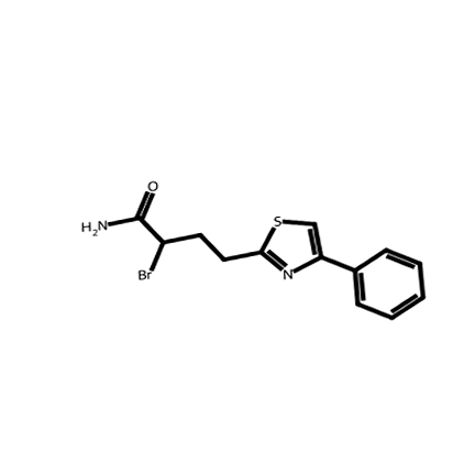 NC(=O)C(Br)CCc1nc(-c2ccccc2)cs1